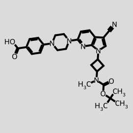 CN(C(=O)OC(C)(C)C)C1CC(n2cc(C#N)c3ccc(N4CCN(c5ccc(C(=O)O)cc5)CC4)nc32)C1